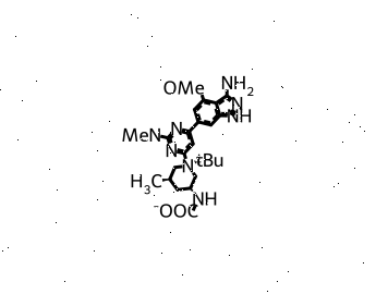 CNc1nc(-c2cc(OC)c3c(N)n[nH]c3c2)cc([N+]2(C(C)(C)C)C[C@H](C)C[C@@H](NC(=O)[O-])C2)n1